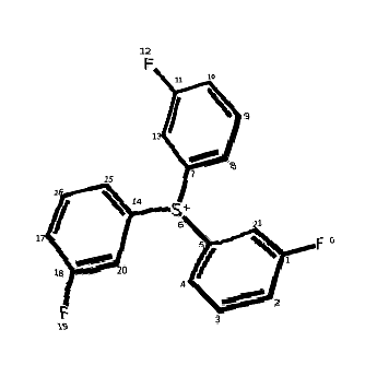 Fc1cccc([S+](c2cccc(F)c2)c2cccc(F)c2)c1